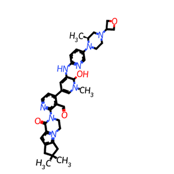 C[C@H]1CN(C2COC2)CCN1c1ccc(NC2=CC(c3ccnc(N4CCn5c(cc6c5CC(C)(C)C6)C4=O)c3C=O)=CN(C)C2O)nc1